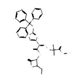 CC(C)(C)OC(=O)C(C)(C)ON=C(C(=O)NC1C(=O)NC1CF)c1csc(NC(c2ccccc2)(c2ccccc2)c2ccccc2)n1